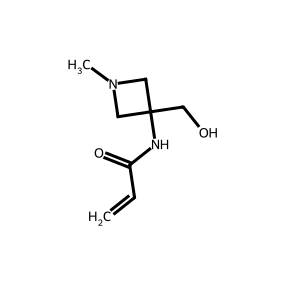 C=CC(=O)NC1(CO)CN(C)C1